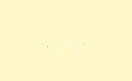 CC#CCN1C(=O)[C@@H]([C@H](O)C2CCCCC2)NC(=O)C12CCN(Cc1ccc3c(c1)OCCO3)CC2.Cl